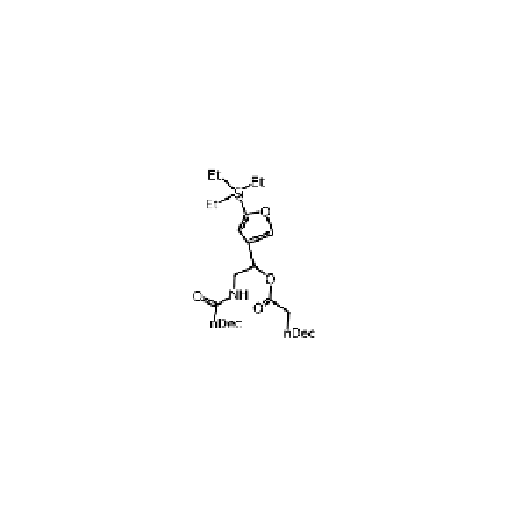 CCCCCCCCCCCC(=O)OC(CNC(=O)CCCCCCCCCC)c1coc([Si](CC)(CC)CC)c1